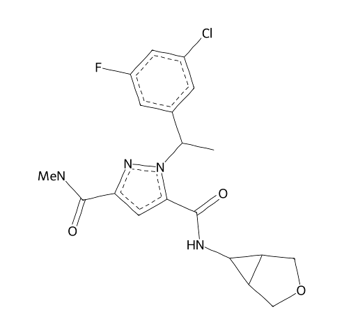 CNC(=O)c1cc(C(=O)NC2C3COCC32)n(C(C)c2cc(F)cc(Cl)c2)n1